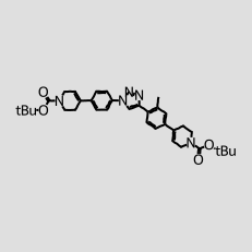 Cc1cc(C2=CCN(C(=O)OC(C)(C)C)CC2)ccc1-c1cn(-c2ccc(C3=CCN(C(=O)OC(C)(C)C)CC3)cc2)nn1